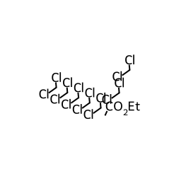 CCOC(C)=O.ClCCl.ClCCl.ClCCl.ClCCl.ClCCl.ClCCl.ClCCl